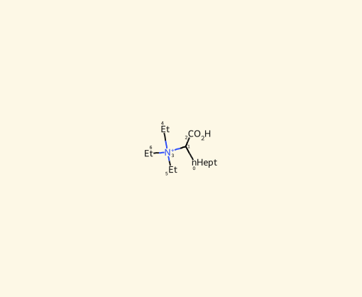 CCCCCCCC(C(=O)O)[N+](CC)(CC)CC